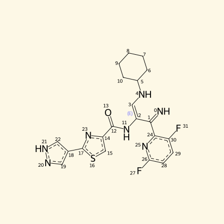 N=C(/C(=C\NC1CCCCC1)NC(=O)c1csc(-c2cn[nH]c2)n1)c1nc(F)ccc1F